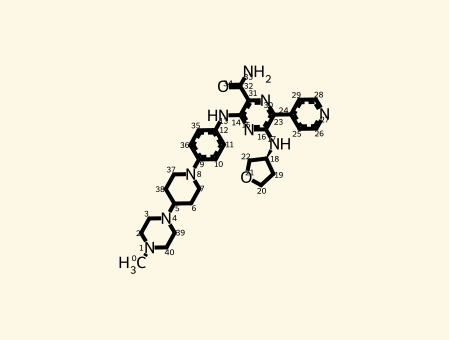 CN1CCN(C2CCN(c3ccc(Nc4nc(N[C@H]5CCOC5)c(-c5ccncc5)nc4C(N)=O)cc3)CC2)CC1